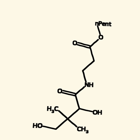 CCCCCOC(=O)CCNC(=O)C(O)C(C)(C)CO